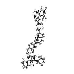 C1=CC2=C(NC1)C1N=CC(c3ccc(-c4ccc5ccc(-c6ccc7ccc(C8=NC(c9ccccc9)NC(c9ccccc9)=N8)nc7c6)nc5c4)cc3)=C1C=C2